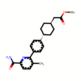 Cc1ccc(C(N)=O)nc1-c1ccc([C@H]2CC[C@H](CC(=O)OC(C)(C)C)CC2)cc1